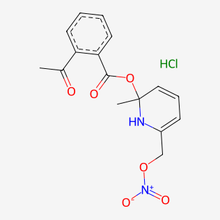 CC(=O)c1ccccc1C(=O)OC1(C)C=CC=C(CO[N+](=O)[O-])N1.Cl